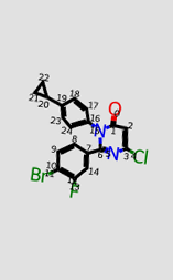 O=c1cc(Cl)nc(-c2ccc(Br)c(F)c2)n1-c1ccc(C2CC2)cc1